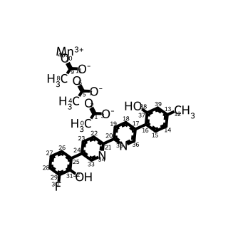 CC(=O)[O-].CC(=O)[O-].CC(=O)[O-].Cc1ccc(-c2ccc(-c3ccc(-c4cccc(F)c4O)cn3)nc2)c(O)c1.[Mn+3]